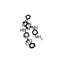 NC1CCC(Nc2nc(NC3CCN(C(C=O)Oc4ccccc4)CC3)c3ncn(C4CCCC4)c3n2)CC1